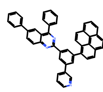 c1ccc(-c2ccc3nc(-c4cc(-c5cccnc5)cc(-c5ccc6ccc7cccc8ccc5c6c78)c4)nc(-c4ccccc4)c3c2)cc1